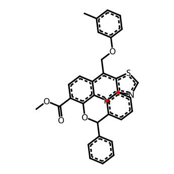 COC(=O)c1ccc2c(COc3cccc(C)c3)c3scnc3nc2c1OC(c1ccccc1)c1ccccc1